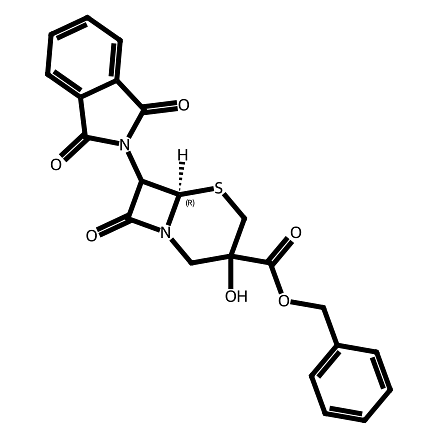 O=C1c2ccccc2C(=O)N1C1C(=O)N2CC(O)(C(=O)OCc3ccccc3)CS[C@H]12